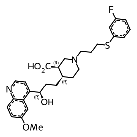 COc1ccc2nccc([C@H](O)CC[C@@H]3CCN(CCCSc4cccc(F)c4)C[C@@H]3C(=O)O)c2c1